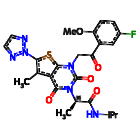 COc1ccc(F)cc1C(=O)Cn1c(=O)n([C@H](C)C(=O)NC(C)C)c(=O)c2c(C)c(-n3nccn3)sc21